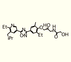 CCc1cc(-c2noc(-c3cnc(CC)c(CC(C)C)c3)n2)cc(C)c1OC[C@@H](O)CNC(=O)CO